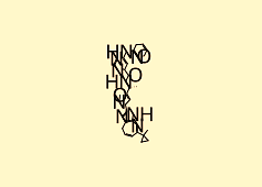 C[C@@H](NC(=O)c1cc(NC2=NOC=CC2)ncn1)c1cc(-c2nc3c([nH]2)N=C(C2(C)CC2)C=CC3)no1